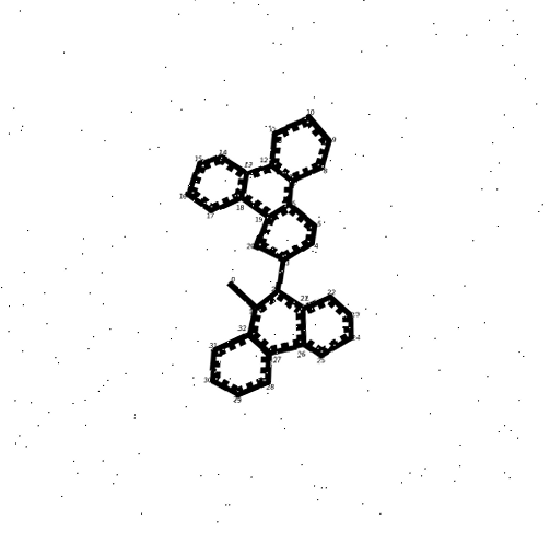 Cc1c(-c2ccc3c4ccccc4c4ccccc4c3c2)c2ccccc2c2ccccc12